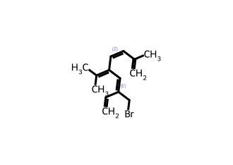 C=C/C(=C\C(/C=C\C(=C)C)=C(C)C)CBr